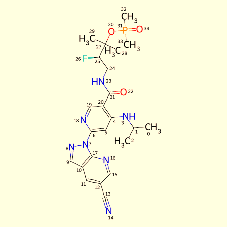 CC(C)Nc1cc(-n2ncc3cc(C#N)cnc32)ncc1C(=O)NC[C@@H](F)C(C)(C)OP(C)(C)=O